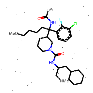 CCCC(=O)NC(CCCCOC)(c1cccc(Cl)c1F)C1CCCN(C(=O)NC(CNC)CC2CCCCC2)C1